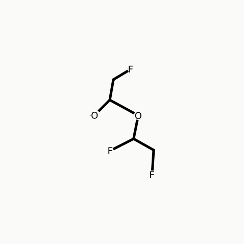 [O]C(CF)OC(F)CF